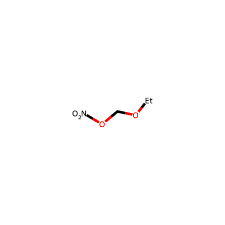 CCOCO[N+](=O)[O-]